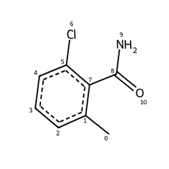 Cc1cccc(Cl)c1C(N)=O